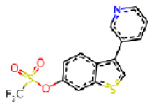 O=S(=O)(Oc1ccc2c(-c3cccnc3)csc2c1)C(F)(F)F